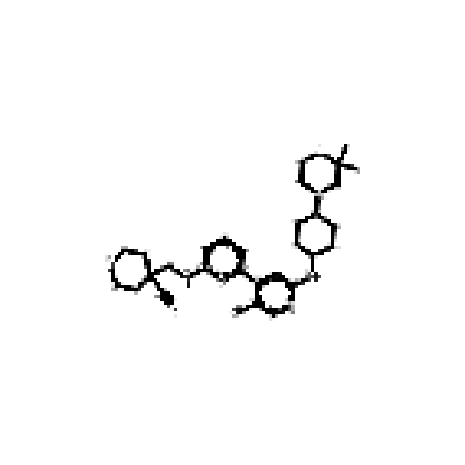 CC1(C)CN(C2CCC(Nc3cc(-c4cccc(NCC5(C#N)CCOCC5)n4)c(Cl)cn3)CC2)CCO1